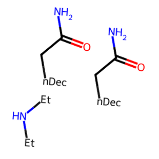 CCCCCCCCCCCC(N)=O.CCCCCCCCCCCC(N)=O.CCNCC